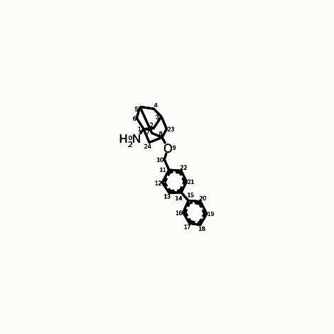 NC12CC3CC(C1)CC(OCc1ccc(-c4ccccc4)cc1)(C3)C2